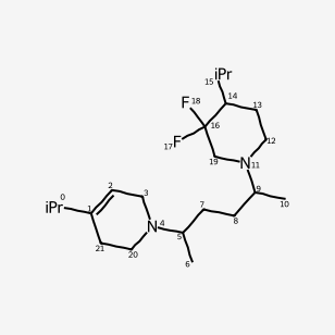 CC(C)C1=CCN(C(C)CCC(C)N2CCC(C(C)C)C(F)(F)C2)CC1